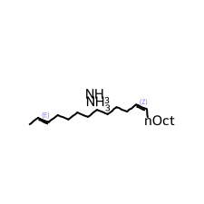 C/C=C/CCCCCCCC/C=C\CCCCCCCC.N.N